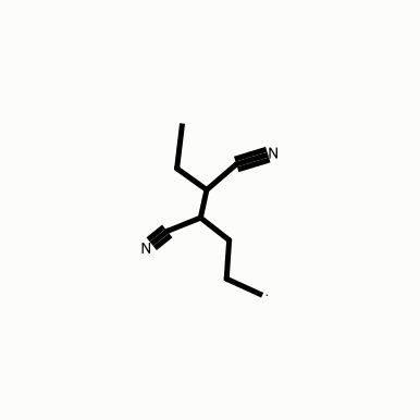 [CH2]CCC(C#N)C(C#N)CC